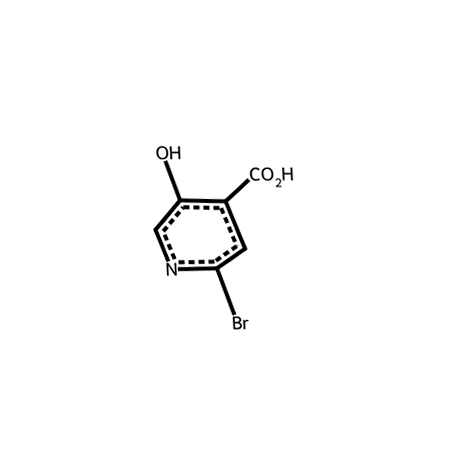 O=C(O)c1cc(Br)ncc1O